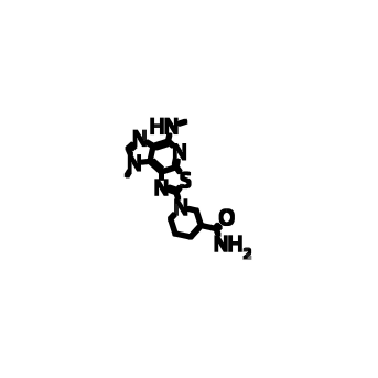 CNc1nc2sc(N3CCCC(C(N)=O)C3)nc2c2c1ncn2C